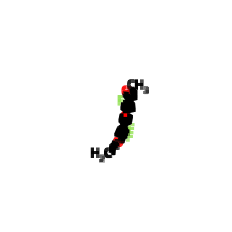 C=CCCOCc1ccc(-c2ccc(-c3ccc(C4CCC(C)OC4)c(F)c3)cc2)c(F)c1F